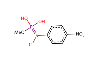 COP(O)(O)=S(Cl)c1ccc([N+](=O)[O-])cc1